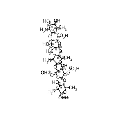 CO[C@H]1OC(C)[C@@H](O[C@@H]2OC(OC=O)[C@@H](O[C@H]3OC(C)[C@@H](O[C@@H]4O[C@@H](C(=O)O)[C@@H](O[C@H]5O[C@@H](C)[C@@H](O)[C@H](O)C5N)[C@H](O)C4C)CC3N)[C@H](O)C2OS(=O)(=O)O)[C@H](O)C1N